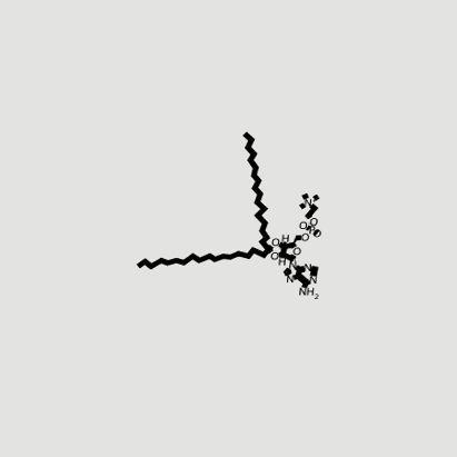 CCCCCCCCCCCCCCCCCC1(CCCCCCCCCCCCCCCCC)O[C@@H]2[C@H](O1)[C@@H](COP(=O)([O-])OCC[N+](C)(C)C)O[C@H]2n1cnc2c(N)ncnc21